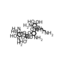 NCCCNC[C@H]1O[C@H](O[C@H]2[C@H](O[C@@H]3O[C@H](CO)[C@@H](O[C@H]4O[C@@H](CN)[C@@H](O)[C@H](O)[C@H]4N)[C@H]3O)[C@@H](O)[C@H](N)C[C@@H]2N)[C@H](N)[C@@H](O)[C@@H]1O